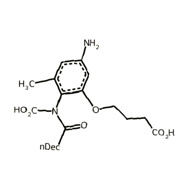 CCCCCCCCCCC(=O)N(C(=O)O)c1c(C)cc(N)cc1OCCCC(=O)O